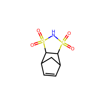 O=S1(=O)NS(=O)(=O)C2C3C=CC(C3)C21